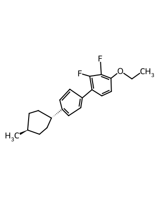 CCOc1ccc(-c2ccc([C@H]3CC[C@H](C)CC3)cc2)c(F)c1F